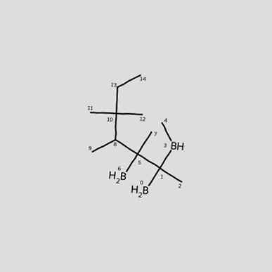 BC(C)(BC)C(B)(C)C(C)C(C)(C)CC